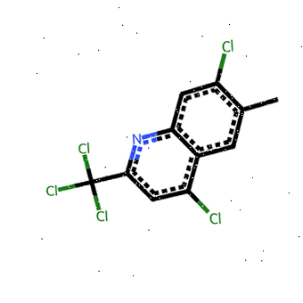 Cc1cc2c(Cl)cc(C(Cl)(Cl)Cl)nc2cc1Cl